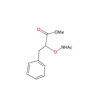 COC(=O)C(Cc1ccccc1)ONC(C)=O